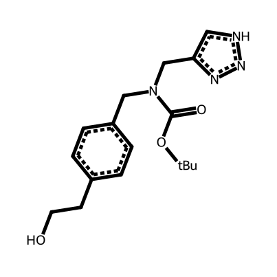 CC(C)(C)OC(=O)N(Cc1ccc(CCO)cc1)Cc1c[nH]nn1